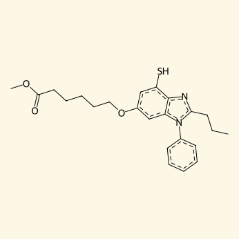 CCCc1nc2c(S)cc(OCCCCCC(=O)OC)cc2n1-c1ccccc1